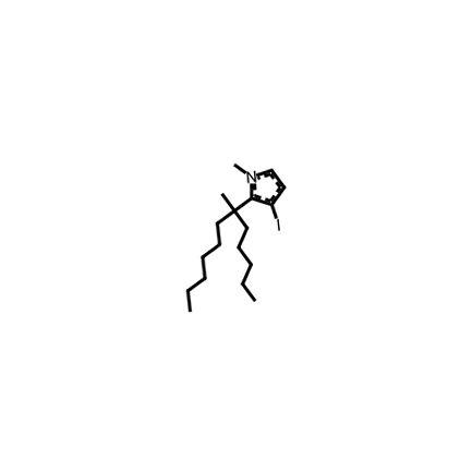 CCCCCCC(C)(CCCCC)c1c(I)ccn1C